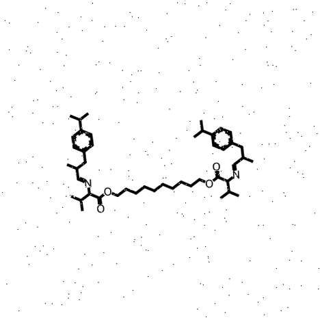 CC(/C=N/C(C(=O)OCCCCCCCCCCOC(=O)C(/N=C/C(C)Cc1ccc(C(C)C)cc1)C(C)C)C(C)C)Cc1ccc(C(C)C)cc1